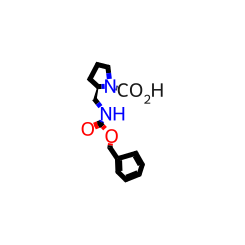 O=C(NC[C@H]1CCCN1C(=O)O)OCc1ccccc1